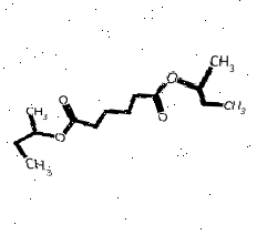 CCC(C)OC(=O)CCCCC(=O)OC(C)CC